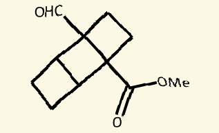 COC(=O)C12C3C4C5C3C1(C=O)C5C42